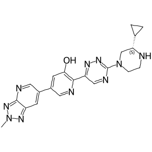 Cn1nc2cc(-c3cnc(-c4cnc(N5CCN[C@@H](C6CC6)C5)nn4)c(O)c3)cnc2n1